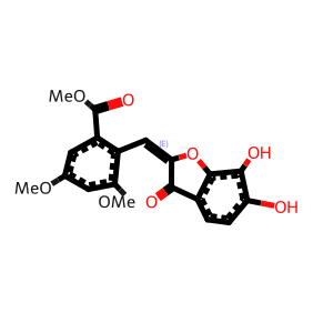 COC(=O)c1cc(OC)cc(OC)c1/C=C1/Oc2c(ccc(O)c2O)C1=O